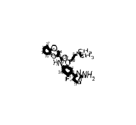 CN(C)CCOc1cc(-c2ccnc(N)n2)c(F)cc1NC(=O)[C@@H]1COc2ccccc2O1